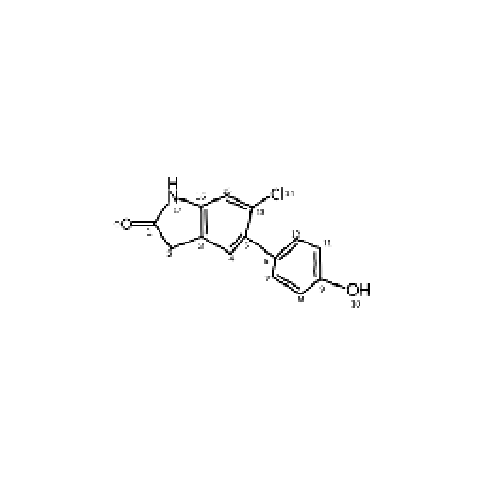 O=C1Cc2cc(-c3ccc(O)cc3)c(Cl)cc2N1